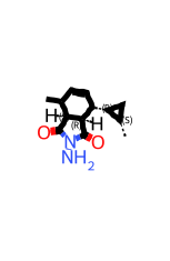 CC1C=CC([C@@H]2C[C@@H]2C)[C@H]2C(=O)N(N)C(=O)[C@@H]12